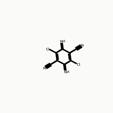 N#CC1=C(Cl)C(=N)C(C#N)=C(Cl)C1=N